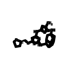 Cc1cc(Nc2cc(OC[C@@H]3CCCO3)nc(NC3C4CC5CC3CC(O)(C5)C4)n2)n[nH]1